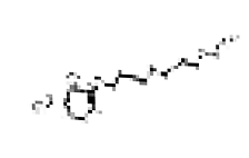 Cc1c(OCCCCCCCCCO)ccnc1CO